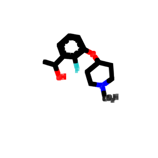 CC(O)c1cccc(OC2CCN(C(=O)O)CC2)c1F